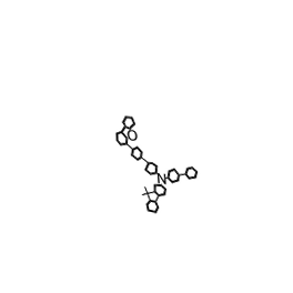 CC1(C)c2ccccc2-c2ccc(N(c3ccc(-c4ccccc4)cc3)c3ccc(-c4ccc(-c5cccc6c5oc5ccccc56)cc4)cc3)cc21